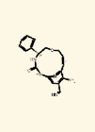 N=Cc1cc2nc(c1N)/C=C\COC[C@H](c1ccccc1)NC(=O)N2